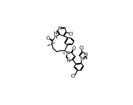 C[C@@H]1CCC[C@H](n2cnc(-c3cc(Cl)ccc3-n3cc(Cl)nn3)cc2=O)c2cccc(c2)-c2c(Cl)cncc2NC1=O